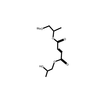 COCC(C)OC(=O)C=CC(=O)OCC(C)O